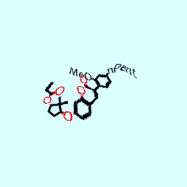 C=CC(=O)OC1CCC(Oc2ccc3cc(-c4ccc(CCCCC)cc4OC)c(=O)oc3c2)C1(C)C